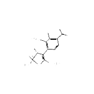 CCOC(=O)C1=C(c2ccc(C(F)F)c(F)c2OC)[C@H](C)[C@](C)(C(F)(F)F)O1